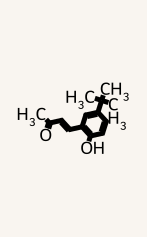 CC(=O)C=Cc1cc(C(C)(C)C)ccc1O